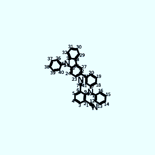 N#Cc1cccc(C#N)c1N(c1ccccc1)c1cccc(-c2ccc3c(c2)c2ccccc2n3-c2ccccc2)c1